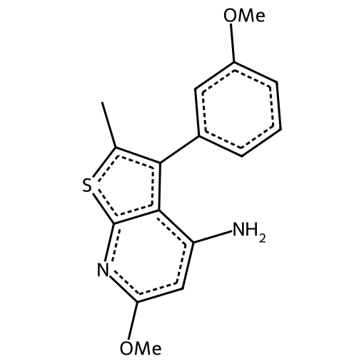 COc1cccc(-c2c(C)sc3nc(OC)cc(N)c23)c1